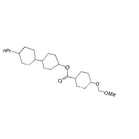 CCCC1CCC(C2CCC(OC(=O)C3CCC(OCOC)CC3)CC2)CC1